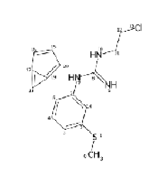 CSc1cccc(NC(=N)NCCCl)c1.c1cc2cc-2c1